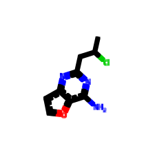 CC(Cl)Cc1nc(N)c2occc2n1